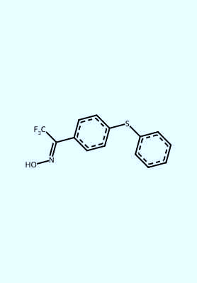 ON=C(c1ccc(Sc2ccccc2)cc1)C(F)(F)F